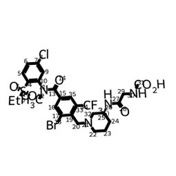 CCS(=O)(=O)c1ccc(Cl)cc1N(C)C(=O)c1cc(Br)c(CN2CCC[C@H](NC(=O)CNC(=O)O)C2)c(C(F)(F)F)c1